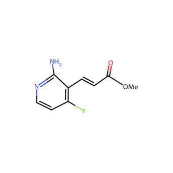 COC(=O)/C=C/c1c(F)ccnc1N